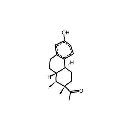 CC(=O)[C@@]1(C)CC[C@@H]2c3ccc(O)cc3CC[C@H]2[C@@H]1C